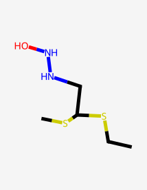 CCSC(CNNO)SC